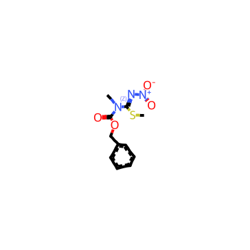 CS/C(=N\[N+](=O)[O-])N(C)C(=O)OCc1ccccc1